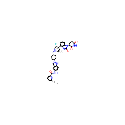 Cc1cccc(C(=O)Nc2ccc3nn([C@H]4CC[C@H](CN5CC[C@H](c6cccc7c6n(C)c(=O)n7C6CCC(=O)NC6=O)[C@H](F)C5)CC4)cc3c2)n1